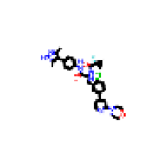 Cc1n[nH]c(C)c1-c1ccc(NC(=O)[C@H](Cc2cc(-c3ccnc(N4CCOCC4)c3)ccc2Cl)NC(=O)C2(F)CC2)cc1